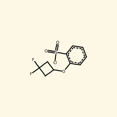 O=S(=O)(Cl)c1ccccc1OC1CC(F)(F)C1